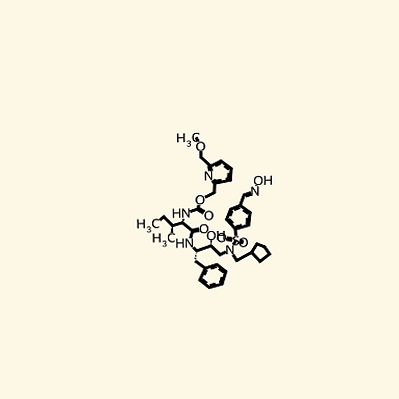 CC[C@H](C)[C@H](NC(=O)OCc1cccc(COC)n1)C(=O)N[C@@H](Cc1ccccc1)[C@H](O)CN(CC1CCCC1)S(=O)(=O)c1ccc(/C=N/O)cc1